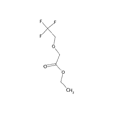 CCOC(=O)COCC(F)(F)F